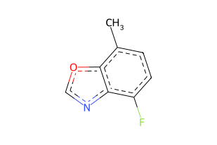 Cc1ccc(F)c2ncoc12